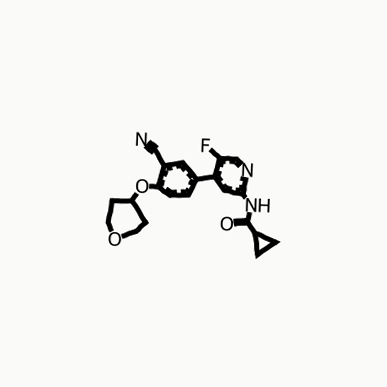 N#Cc1cc(-c2cc(NC(=O)C3CC3)ncc2F)ccc1OC1CCOCC1